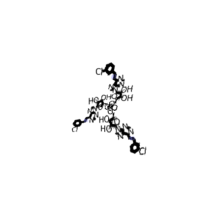 O=P(OC[C@H]1O[C@@H](n2cnc3c(/C=C/c4cccc(Cl)c4)ncnc32)[C@H](O)[C@@H]1O)(OC[C@H]1O[C@@H](n2cnc3c(/C=C/c4cccc(Cl)c4)ncnc32)[C@H](O)[C@@H]1O)OC[C@H]1O[C@@H](n2cnc3c(/C=C/c4cccc(Cl)c4)ncnc32)[C@H](O)[C@@H]1O